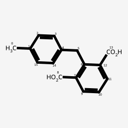 Cc1ccc(Cc2c(C(=O)O)cccc2C(=O)O)cc1